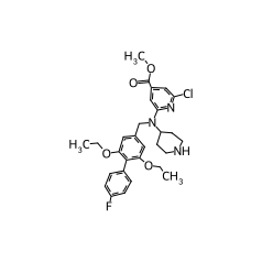 CCOc1cc(CN(c2cc(C(=O)OC)cc(Cl)n2)C2CCNCC2)cc(OCC)c1-c1ccc(F)cc1